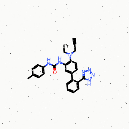 C#CCN(CC(C)C)c1ccc(-c2ccccc2-c2nnn[nH]2)cc1NC(=O)Nc1ccc(C)cc1